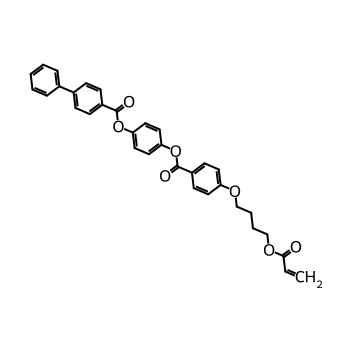 C=CC(=O)OCCCCOc1ccc(C(=O)Oc2ccc(OC(=O)c3ccc(-c4ccccc4)cc3)cc2)cc1